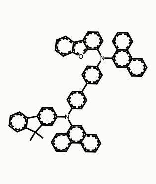 CC1(C)c2ccccc2-c2ccc(N(c3ccc(-c4ccc(N(c5cc6ccccc6c6ccccc56)c5cccc6c5oc5ccccc56)cc4)cc3)c3cc4ccccc4c4ccccc34)cc21